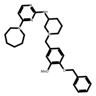 COc1cc(CN2CCCC(Nc3nccc(N4CCCCCC4)n3)C2)ccc1OCc1ccccc1